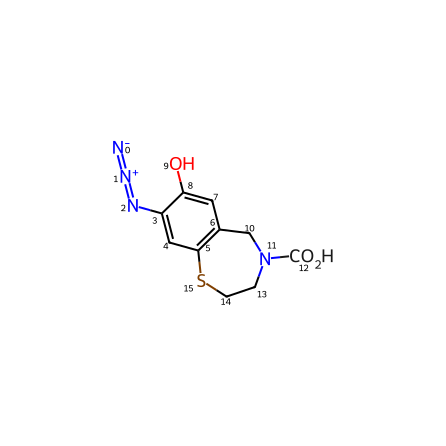 [N-]=[N+]=Nc1cc2c(cc1O)CN(C(=O)O)CCS2